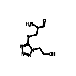 NC(C=O)CSc1nnnn1CCO